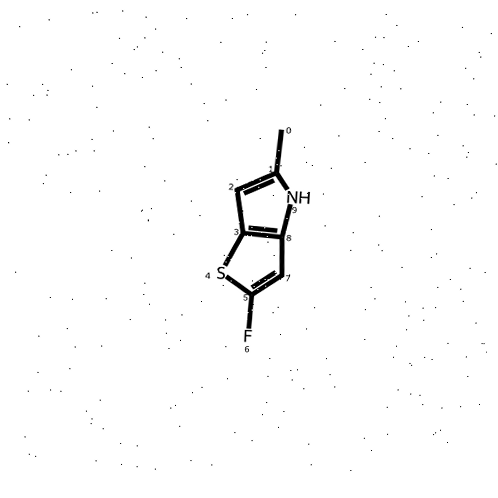 Cc1cc2sc(F)cc2[nH]1